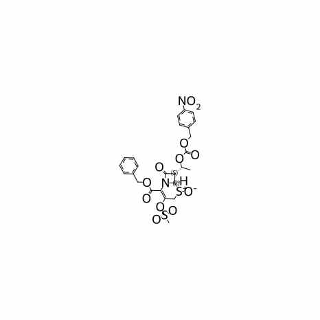 CC(OC(=O)OCc1ccc([N+](=O)[O-])cc1)[C@H]1C(=O)N2C(C(=O)OCc3ccccc3)=C(OS(C)(=O)=O)C[S+]([O-])[C@H]12